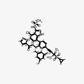 CC(C)(C#Cc1ccc(-c2ccc(Cl)c3c(NS(C)(=O)=O)n[nH]c23)c([C@H](Cc2cc(F)cc(F)c2)NC(=O)c2ccn[nH]2)n1)S(=O)(=O)C1CC1